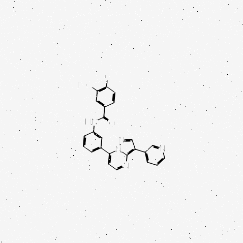 O=C(Nc1cccc(-c2ccnc3c(-c4cccnc4)cnn23)c1)c1ccc(Cl)c(C(F)(F)F)c1